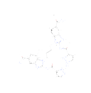 Cc1cc(C(N)=O)cc2nc(NC(=O)c3cc[nH]n3)n(C/C=C/Cn3c(NC(=O)c4cc[nH]n4)nc4cc(C(N)=O)ccc43)c12